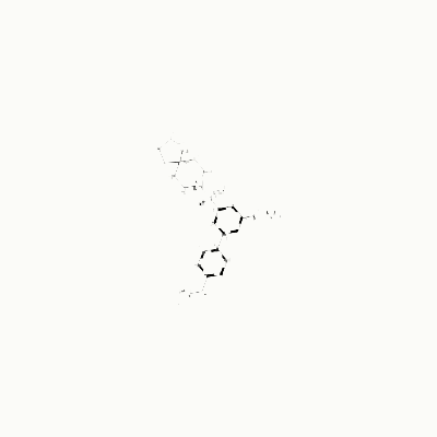 COc1cc(-c2ccc(CN)cc2)cc(S(=O)(=O)N2CCC3(CCCO3)CC2)c1